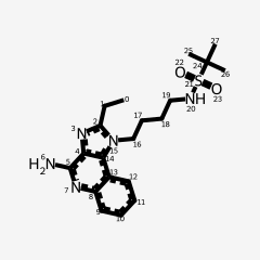 CCc1nc2c(N)nc3ccccc3c2n1CCCCNS(=O)(=O)C(C)(C)C